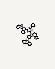 c1ccc(-c2nc(-c3cc4sc5ccccc5c4c4ccccc34)nc(-n3c4ccc(-n5c6ccccc6c6ccccc65)cc4c4c5ccccc5ccc43)n2)cc1